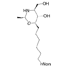 CCCCCCCCCCCCCCC[C@H]1O[C@@H](C)N[C@@H](CO)[C@@H]1O